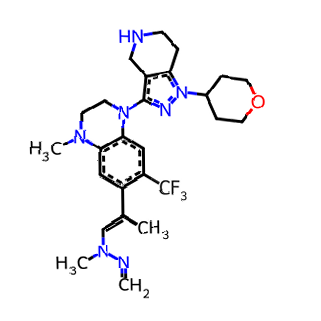 C=NN(C)/C=C(\C)c1cc2c(cc1C(F)(F)F)N(c1nn(C3CCOCC3)c3c1CNCC3)CCN2C